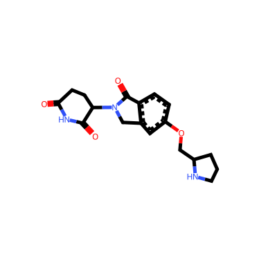 O=C1CCC(N2Cc3cc(OCC4CCCN4)ccc3C2=O)C(=O)N1